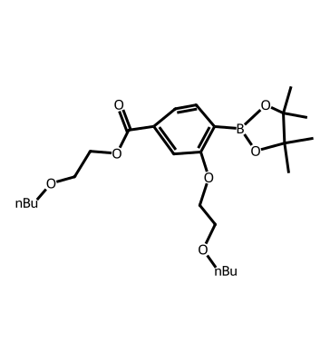 CCCCOCCOC(=O)c1ccc(B2OC(C)(C)C(C)(C)O2)c(OCCOCCCC)c1